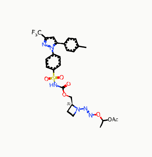 CC(=O)OC(C)ON=NN1CC[C@H]1COC(=O)NS(=O)(=O)c1ccc(-n2nc(C(F)(F)F)cc2-c2ccc(C)cc2)cc1